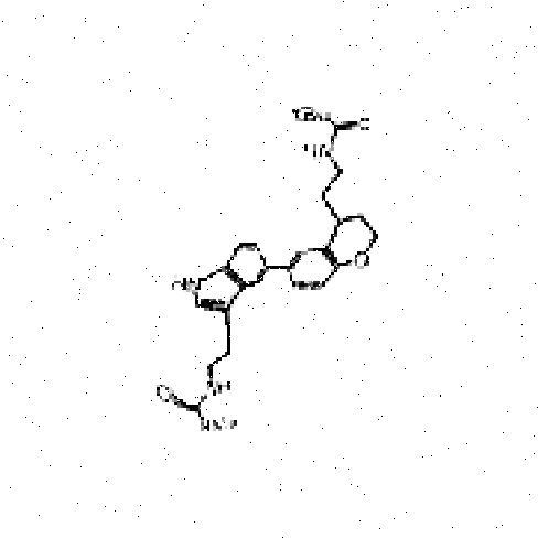 CNC(=O)NCCc1c[nH]c2ccc(-c3ccc4c(c3)C(CCNC(=O)C(C)(C)C)CCO4)cc12